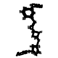 COc1cc(COC2CN(Cc3cnc(NC(C)=O)s3)C2)ccn1